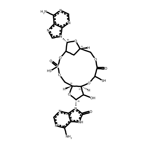 Nc1ncnc2c1ncn2[C@@H]1O[C@@H]2COC(=O)C(S)O[C@H]3C(O)[C@H](n4c(=O)[nH]c5c(N)ncnc54)O[C@@H]3COP(=O)(S)OC1C2